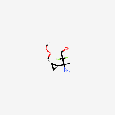 CCOOC[C@H]1C[C@@H]1[C@@](C)(N)C(F)(F)CO